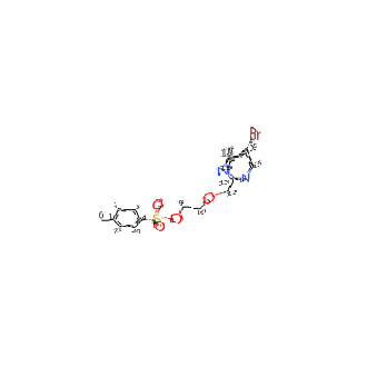 Cc1ccc(S(=O)(=O)OCCOCc2ncc(Br)cn2)cc1